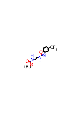 CC(C)(C)OC(=O)NCCNc1nc2cc(C(F)(F)F)ccc2o1